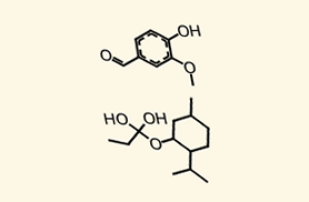 CCC(O)(O)OC1CC(C)CCC1C(C)C.COc1cc(C=O)ccc1O